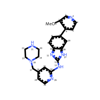 COc1cnccc1-c1ccc2nc(Nc3cc(CN4CCNCC4)ccn3)[nH]c2c1